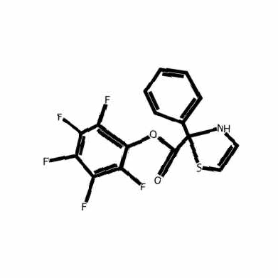 O=C(Oc1c(F)c(F)c(F)c(F)c1F)C1(c2ccccc2)NC=CS1